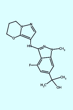 Cn1nc(Nc2cnn3c2OCCC3)c2c(F)cc(C(C)(C)O)cc21